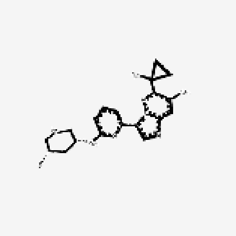 COc1cc2ncc(-c3cccc(N[C@H]4CNC[C@@H](F)C4)n3)n2nc1C1(C(F)(F)F)CC1